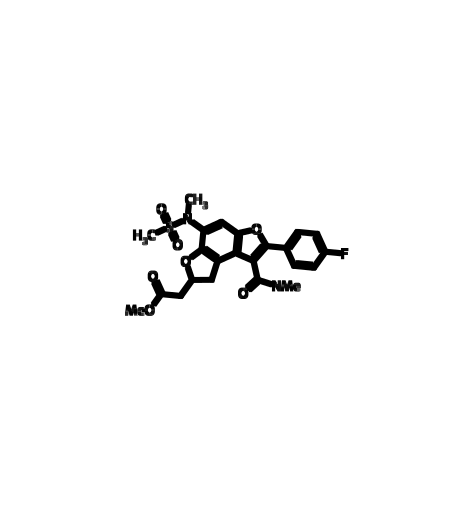 CNC(=O)c1c(-c2ccc(F)cc2)oc2cc(N(C)S(C)(=O)=O)c3c(c12)CC(CC(=O)OC)O3